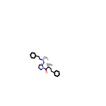 CN[C@@H](CCc1ccccc1)C(=O)N1CCC[C@H]1CN(C)CCc1ccccc1